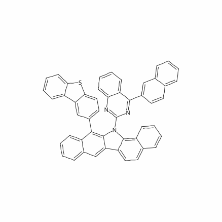 c1ccc2cc(-c3nc(-n4c5c(-c6ccc7sc8ccccc8c7c6)c6ccccc6cc5c5ccc6ccccc6c54)nc4ccccc34)ccc2c1